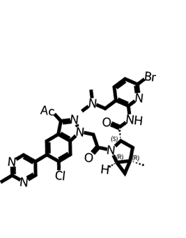 CC(=O)c1nn(CC(=O)N2[C@H](C(=O)Nc3nc(Br)ccc3CN(C)C)C[C@@]3(C)C[C@@H]23)c2cc(Cl)c(-c3cnc(C)nc3)cc12